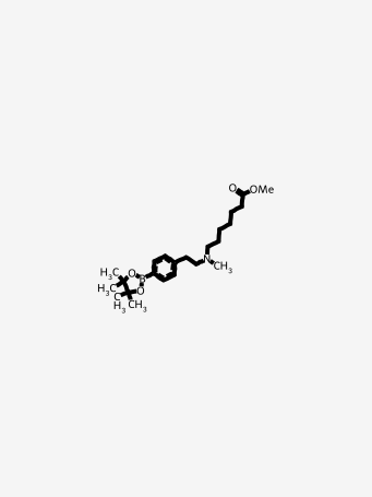 COC(=O)CCCCCCN(C)CCc1ccc(B2OC(C)(C)C(C)(C)O2)cc1